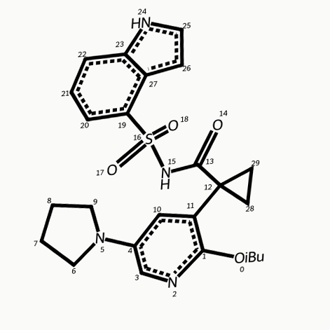 CC(C)COc1ncc(N2CCCC2)cc1C1(C(=O)NS(=O)(=O)c2cccc3[nH]ccc23)CC1